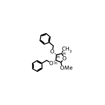 COC1O[C@H](C)[C@@H](OCc2ccccc2)[C@H]1OCc1ccccc1